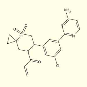 C=CC(=O)N1CC2(CC2)S(=O)(=O)CC1c1cc(Cl)cc(-c2nccc(N)n2)c1